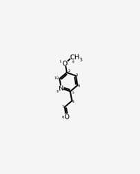 COc1ccc(CC=O)nc1